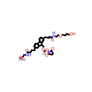 CCCCOCCNC(=O)CCCc1ccc2c(c1)C(COC(=O)ON1C(=O)CCC1=O)c1cc(CCCC(=O)NCCOCCCCO)ccc1-2